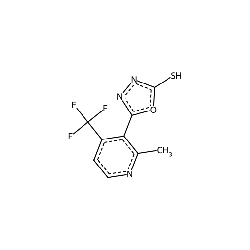 Cc1nccc(C(F)(F)F)c1-c1nnc(S)o1